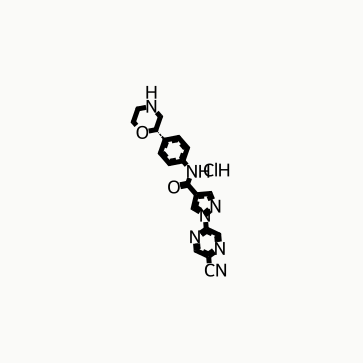 Cl.N#Cc1cnc(-n2cc(C(=O)Nc3ccc([C@H]4CNCCO4)cc3)cn2)cn1